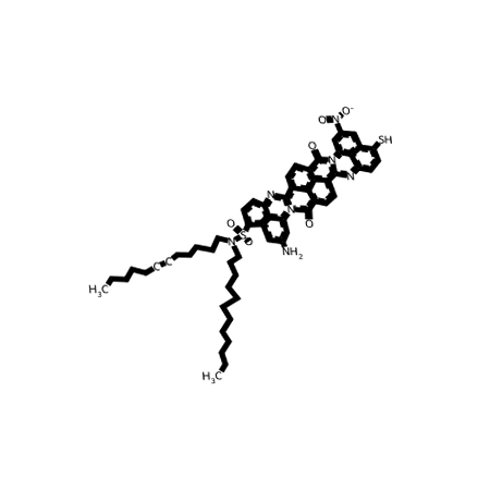 CCCCCCCCCCCCN(CCCCCCCCCCCC)S(=O)(=O)c1ccc2nc3c4ccc5c(=O)n6c7cc([N+](=O)[O-])cc8c(S)ccc(nc6c6ccc(c(=O)n3c3cc(N)cc1c23)c4c56)c87